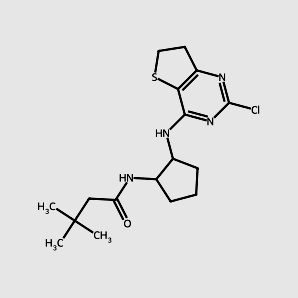 CC(C)(C)CC(=O)NC1CCCC1Nc1nc(Cl)nc2c1SCC2